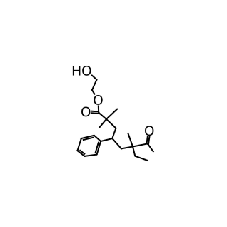 CCC(C)(CC(CC(C)(C)C(=O)OCCO)c1ccccc1)C(C)=O